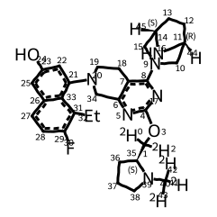 [2H]C([2H])(Oc1nc2c(c(N3C[C@H]4CC[C@@H](C3)N4)n1)CCN(c1cc(O)cc3ccc(F)c(CC)c13)C2)[C@@H]1CCCN1C([2H])([2H])[2H]